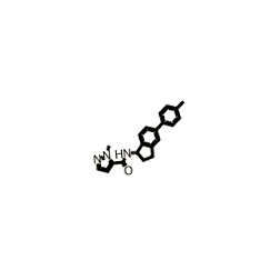 Cc1ccc(-c2ccc3c(c2)CCC3NC(=O)c2ccnn2C)cc1